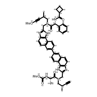 C#C[C@@H](C)CN(Cc1nc2ccc3cc(-c4ccc5c(ccc6nc(CN(CC(C)C#COC)C(=O)[C@H](NC(=O)C7CCC7)c7ccccc7)[nH]c65)c4)ccc3c2[nH]1)C(=O)[C@@H](NC(=O)OC)C(C)C